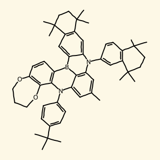 Cc1cc2c3c(c1)N(c1ccc(C(C)(C)C)cc1)c1c(ccc4c1OCCCO4)B3c1cc3c(cc1N2c1ccc2c(c1)C(C)(C)CCC2(C)C)C(C)(C)CCC3(C)C